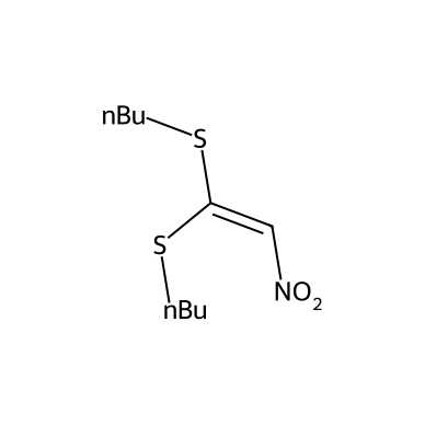 CCCCSC(=C[N+](=O)[O-])SCCCC